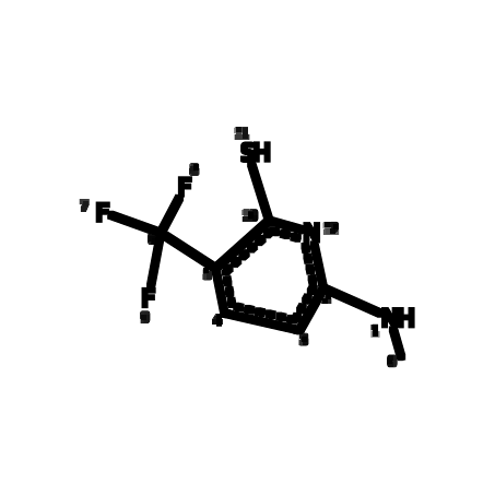 CNc1ccc(C(F)(F)F)c(S)n1